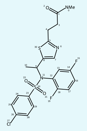 CNC(=O)CCc1ncc(C(C)N(c2cc(F)ccc2F)S(=O)(=O)c2ccc(Cl)cc2)s1